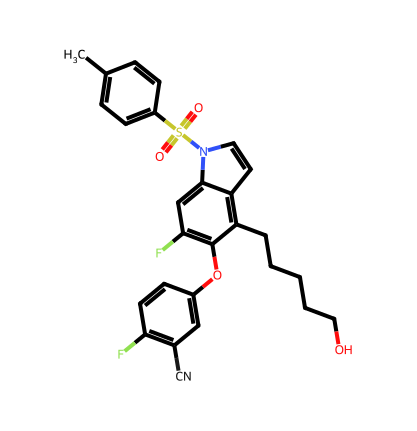 Cc1ccc(S(=O)(=O)n2ccc3c(CCCCCO)c(Oc4ccc(F)c(C#N)c4)c(F)cc32)cc1